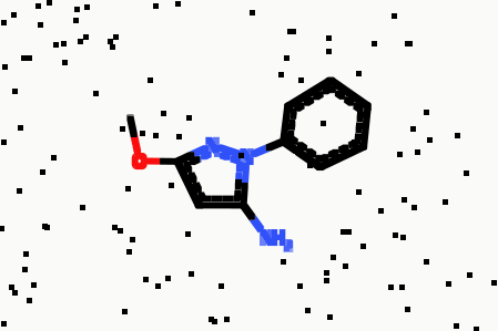 COc1cc(N)n(-c2ccccc2)n1